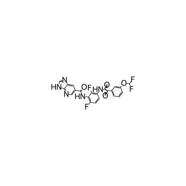 O=C(Nc1c(F)ccc(NS(=O)(=O)c2cccc(OC(F)F)c2)c1F)c1cnc2[nH]cnc2c1